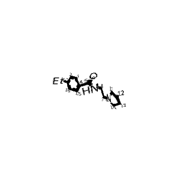 CCc1ccc(C(=O)NCCN2CCCC2)cc1